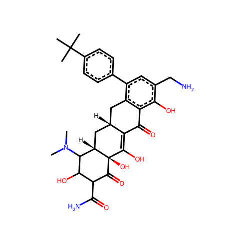 CN(C)C1C(O)C(C(N)=O)C(=O)[C@@]2(O)C(O)=C3C(=O)c4c(O)c(CN)cc(-c5ccc(C(C)(C)C)cc5)c4C[C@H]3C[C@@H]12